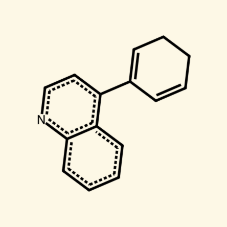 C1=CC(c2ccnc3ccccc23)=CCC1